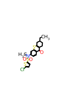 CCC1CCc2c(sc3cc(N(C)S(=O)(=O)c4ccc(Cl)s4)ccc3c2=O)C1